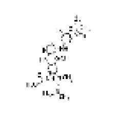 C=CC(=O)Nc1cc(Nc2cc(Nc3ccc(OC(C)(C)C)c(Cl)c3)ncn2)c(OC)cc1N(C)CCN(C)C